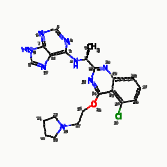 C[C@H](Nc1ncnc2[nH]cnc12)c1nc(OCCN2CCCC2)c2c(Cl)cccc2n1